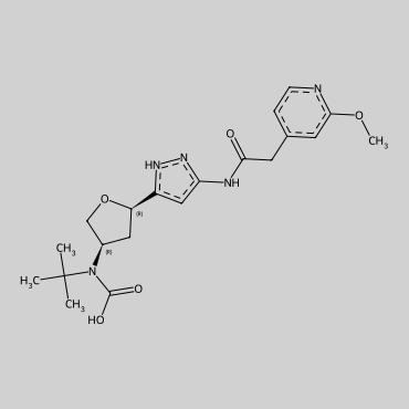 COc1cc(CC(=O)Nc2cc([C@H]3C[C@@H](N(C(=O)O)C(C)(C)C)CO3)[nH]n2)ccn1